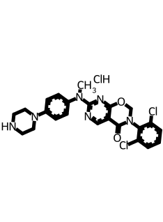 CN(c1ccc(N2CCNCC2)cc1)c1ncc2c(n1)OCN(c1c(Cl)cccc1Cl)C2=O.Cl